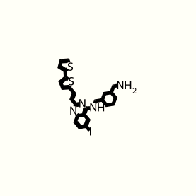 NCC1CCCC(CNc2nc(C=Cc3ccc(-c4cccs4)s3)nc3ccc(I)cc23)C1